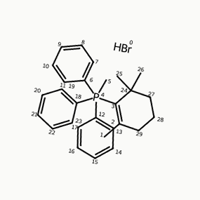 Br.CC1=C(P(C)(c2ccccc2)(c2ccccc2)c2ccccc2)C(C)(C)CCC1